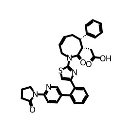 O=C(O)C[C@@H]1C(=O)N(c2nc(-c3ccccc3-c3ccc(N4CCCC4=O)nc3)cs2)CC=CC[C@@H]1c1ccccc1